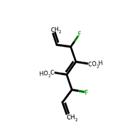 C=CC(F)C(C(=O)O)=C(C(=O)O)C(F)C=C